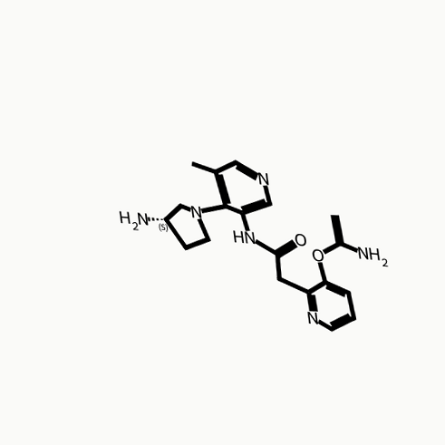 C=C(N)Oc1cccnc1CC(=O)Nc1cncc(C)c1N1CC[C@H](N)C1